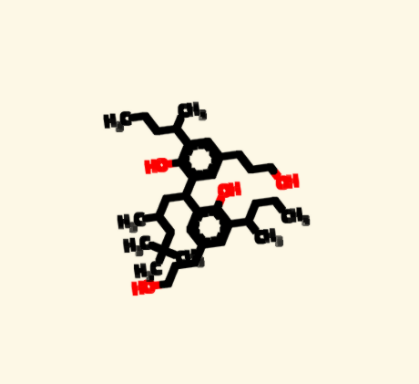 CCCC(C)c1cc(CCCO)cc(C(CC(C)CC(C)(C)C)c2cc(CCCO)cc(C(C)CCC)c2O)c1O